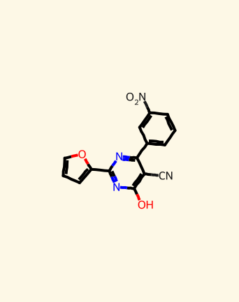 N#Cc1c(O)nc(-c2ccco2)nc1-c1cccc([N+](=O)[O-])c1